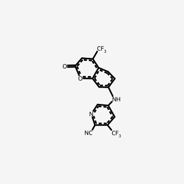 N#Cc1ncc(Nc2ccc3c(C(F)(F)F)cc(=O)oc3c2)cc1C(F)(F)F